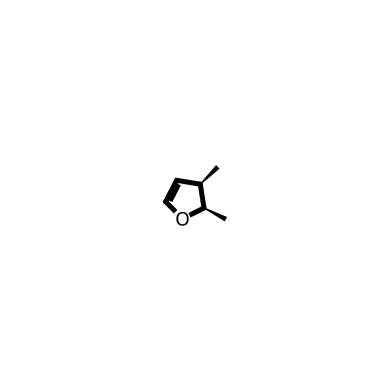 C[C@@H]1C=CO[C@@H]1C